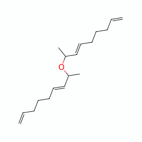 C=CCCCC=CC(C)OC(C)C=CCCCC=C